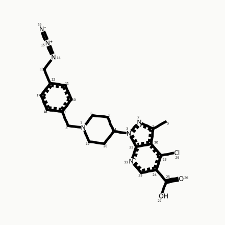 Cc1nn(C2CCN(Cc3ccc(CN=[N+]=[N-])cc3)CC2)c2ncc(C(=O)O)c(Cl)c12